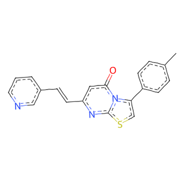 Cc1ccc(-c2csc3nc(/C=C/c4cccnc4)cc(=O)n23)cc1